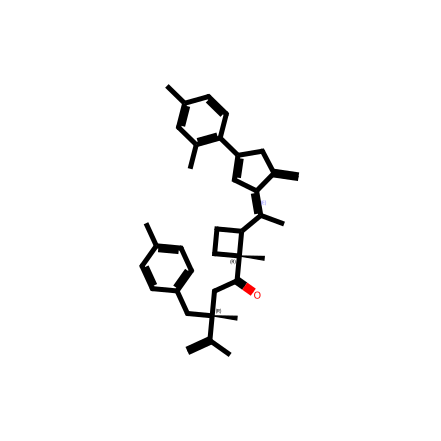 C=C1CC(c2ccc(C)cc2C)=C/C1=C(/C)C1CC[C@@]1(C)C(=O)C[C@@](C)(Cc1ccc(C)cc1)C(=C)C